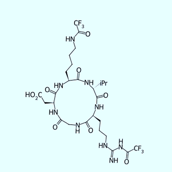 CC(C)[C@H]1NC(=O)[C@H](CCCCNC(=O)C(F)(F)F)NC(=O)[C@H](CC(=O)O)NC(=O)CNC(=O)[C@H](CCCNC(=N)NC(=O)C(F)(F)F)NC1=O